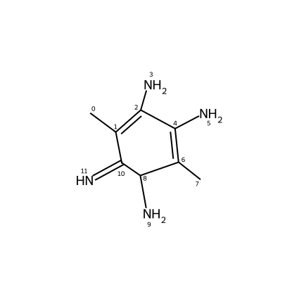 CC1=C(N)C(N)=C(C)C(N)C1=N